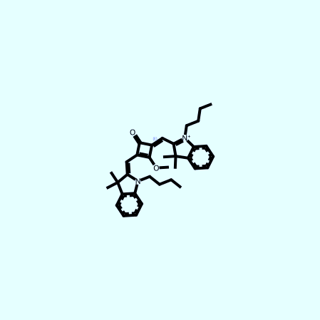 CCCCN1C(=CC2=C(OC)/C(=C\C3=[N+](CCCC)c4ccccc4C3(C)C)C2=O)C(C)(C)c2ccccc21